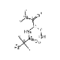 CN(C)C(=O)[C@H](CS)NC(=O)C(C)(C)S